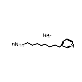 Br.CCCCCCCCCCCCCCCCCc1cccnc1